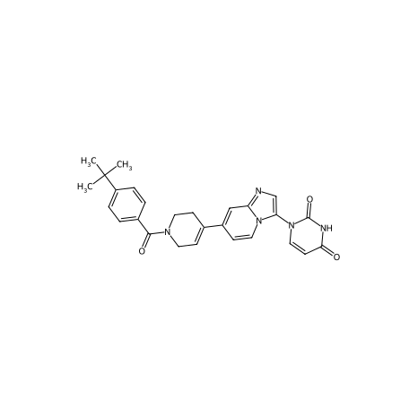 CC(C)(C)c1ccc(C(=O)N2CC=C(c3ccn4c(-n5ccc(=O)[nH]c5=O)cnc4c3)CC2)cc1